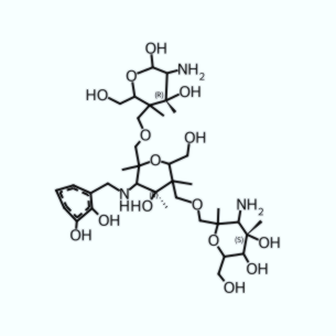 CC1(COCC2(C)C(CO)OC(C)(COCC3(C)C(CO)OC(O)C(N)[C@]3(C)O)C(NCc3cccc(O)c3O)[C@]2(C)O)OC(CO)C(O)[C@@](C)(O)C1N